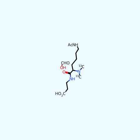 CC(=O)NCCCCC(C(=O)NCCC(=O)O)N([13CH3])[13CH3].O=CO